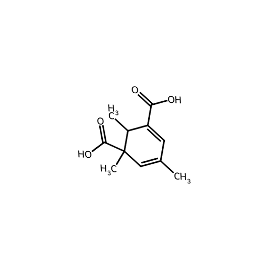 CC1=CC(C)(C(=O)O)C(C)C(C(=O)O)=C1